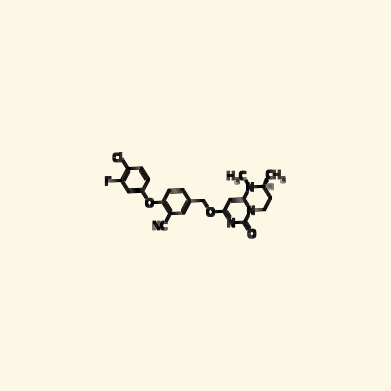 C[C@H]1CCn2c(cc(OCc3ccc(Oc4ccc(Cl)c(F)c4)c(C#N)c3)nc2=O)N1C